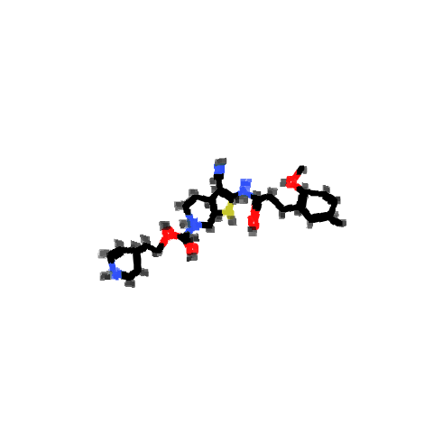 COc1ccc(C)cc1CCC(=O)Nc1sc2c(c1C#N)CCN(C(=O)OCCc1ccncc1)C2